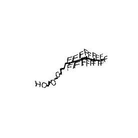 OCCOCCOCCCCC(F)(F)C(F)(F)C(F)(F)C(F)(F)C(F)(F)C(F)(F)C(F)(F)C(F)(F)F